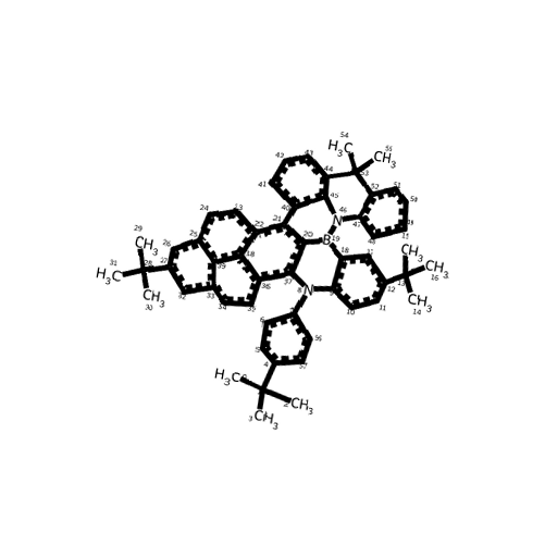 CC(C)(C)c1ccc(N2c3ccc(C(C)(C)C)cc3B3c4c(c5ccc6cc(C(C)(C)C)cc7ccc(c42)c5c67)-c2cccc4c2N3c2ccccc2C4(C)C)cc1